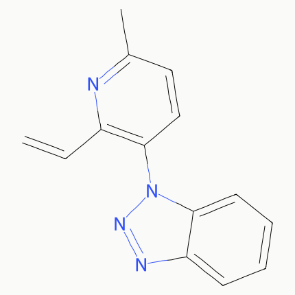 C=Cc1nc(C)ccc1-n1nnc2ccccc21